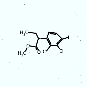 CCC(C(=O)OC)c1ccc(I)c(Cl)c1Cl